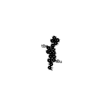 Cc1cccc(-c2ccc3oc4c(N(c5ccc(C(C)(C)C)cc5)c5ccc6c(c5)C5(c7ccccc7-c7ccccc75)c5cc(N(c7ccc(C(C)(C)C)cc7)c7cccc8c7oc7ccc(-c9cccc([Si](c%10ccccc%10)(c%10ccccc%10)c%10ccccc%10)c9)cc78)c7ccccc7c5-6)cccc4c3c2)c1